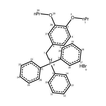 Br.CCCOc1ccc(C[PH](c2ccccc2)(c2ccccc2)c2ccccc2)cc1OCCC